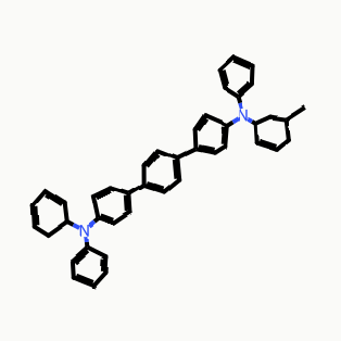 CC1CC=CC(N(c2ccccc2)c2ccc(-c3ccc(-c4ccc(N(c5ccccc5)C5C=CC=CC5)cc4)cc3)cc2)C1